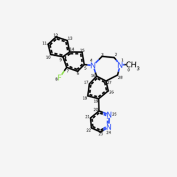 CN1CCN(c2cc(F)c3ccccc3c2)c2ccc(-c3cccnn3)cc2C1